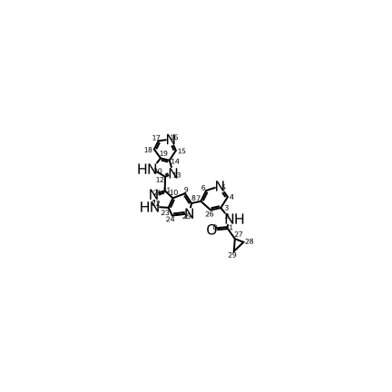 O=C(Nc1cncc(-c2cc3c(-c4nc5cnccc5[nH]4)n[nH]c3cn2)c1)C1CC1